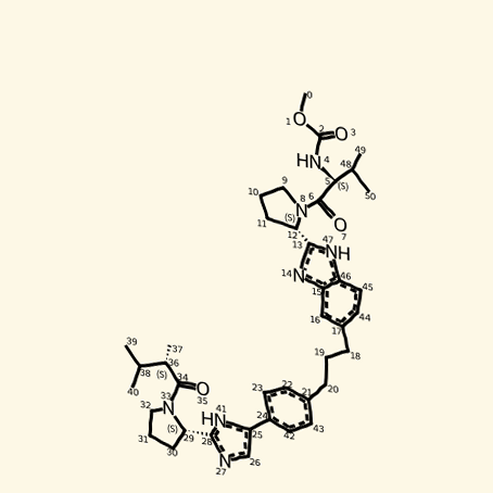 COC(=O)N[C@H](C(=O)N1CCC[C@H]1c1nc2cc(CCCc3ccc(-c4cnc([C@@H]5CCCN5C(=O)[C@@H](C)C(C)C)[nH]4)cc3)ccc2[nH]1)C(C)C